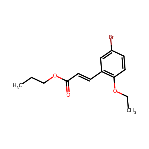 CCCOC(=O)/C=C/c1cc(Br)ccc1OCC